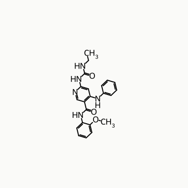 CCNC(=O)Nc1cc(Nc2ccccc2)c(C(=O)Nc2ccccc2OC)cn1